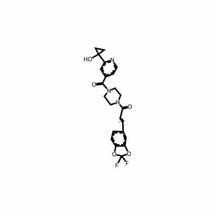 O=C(/C=C/c1ccc2c(c1)OC(F)(F)O2)N1CCN(C(=O)c2ccnc(C3(O)CC3)c2)CC1